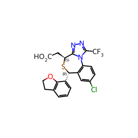 O=C(O)C[C@@H]1S[C@@H](c2cccc3c2OCC3)c2cc(Cl)ccc2-n2c1nnc2C(F)(F)F